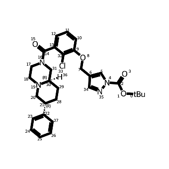 CC(C)(C)OC(=O)n1cc(COc2cccc(C(=O)N3CCN4C[C@@H](c5ccccc5)CC[C@@H]4C3)c2Cl)cn1